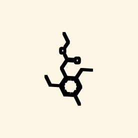 CCOC(=O)Cc1c(CC)cc(C)cc1CC